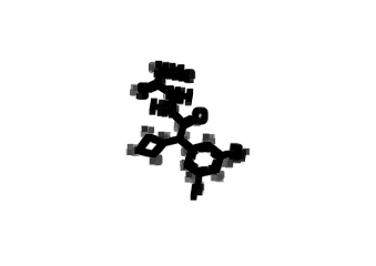 CNC(=S)NNC(=O)C(c1cc(F)cc(Br)c1)C1CCC1